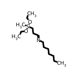 CCCCCCCN=CCC[Si](C)(OCC)OCC